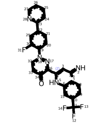 CC(=N)/C=C(\Nc1cccc(C(F)(F)F)c1)c1nn(-c2ccc(-c3ccccn3)cc2F)ccc1=O